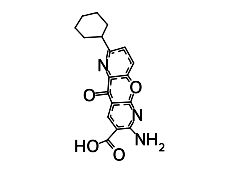 Nc1nc2oc3ccc(C4CCCCC4)nc3c(=O)c2cc1C(=O)O